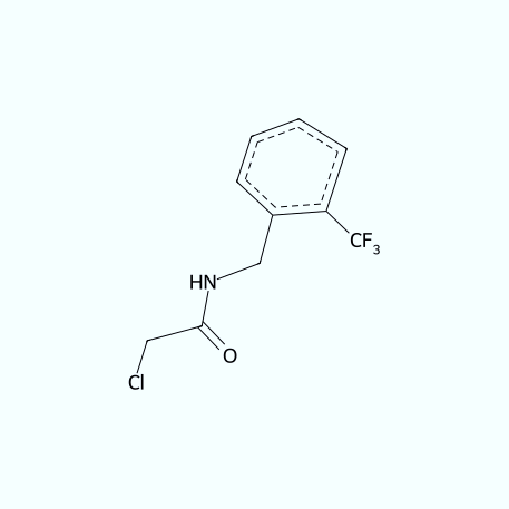 O=C(CCl)NCc1ccccc1C(F)(F)F